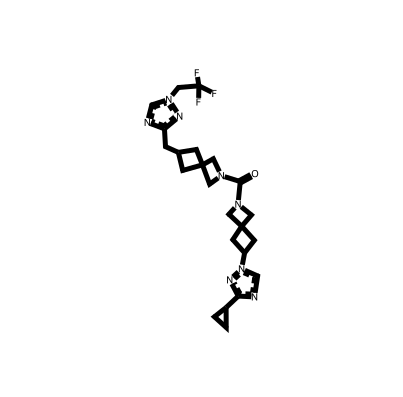 O=C(N1CC2(CC(Cc3ncn(CC(F)(F)F)n3)C2)C1)N1CC2(CC(n3cnc(C4CC4)n3)C2)C1